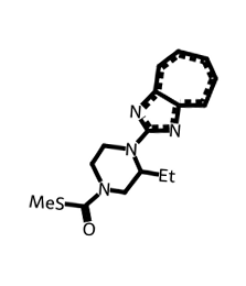 CCC1CN(C(=O)SC)CCN1c1nc2cccccc-2n1